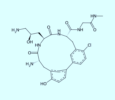 CNC(=O)CNC(=O)[C@@H]1Cc2cc(ccc2Cl)-c2ccc(O)c(c2)C[C@H](N)C(=O)N[C@@H](C[C@@H](O)CN)C(=O)N1